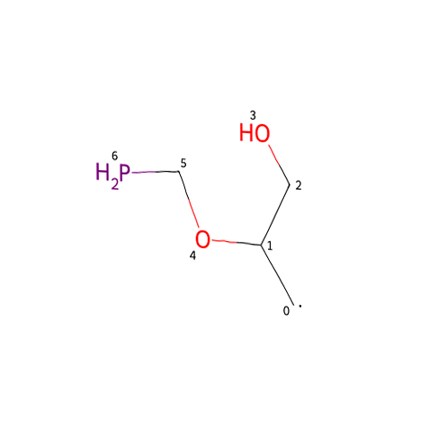 [CH2]C(CO)OCP